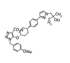 COc1ccc(Cn2nnc(C(=O)O)c2O[C@H]2CC[C@H](c3ccc(-c4ccn(CC(C)(C)O)n4)cc3)CC2)cc1